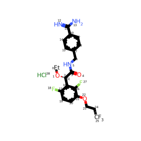 CCO[C@H](C(=O)NCc1ccc(C(=N)N)cc1)c1c(F)ccc(OCCC(F)(F)F)c1F.Cl